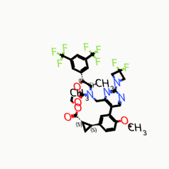 CCOC(=O)[C@H]1C[C@@H]1c1ccc(OC)c(-c2cnc(N3CC(F)(F)C3)nc2CN2C(=O)O[C@H](c3cc(C(F)(F)F)cc(C(F)(F)F)c3)[C@@H]2C)c1